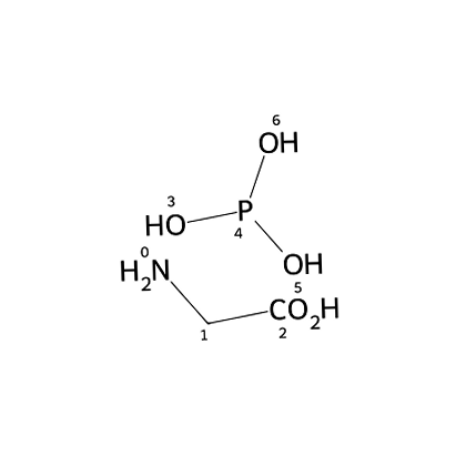 NCC(=O)O.OP(O)O